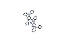 c1ccc(-n2c3ccccc3c3cc4c(cc32)-c2c3ccccc3n3c5cc6c(cc5n(c23)-c2ccccc2-4)c2ccccc2n6-c2ccccc2)cc1